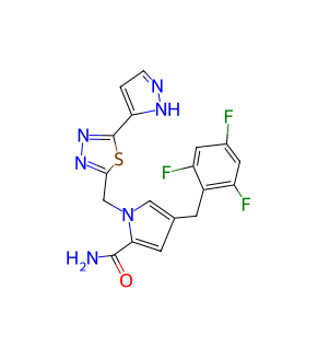 NC(=O)c1cc(Cc2c(F)cc(F)cc2F)cn1Cc1nnc(-c2ccn[nH]2)s1